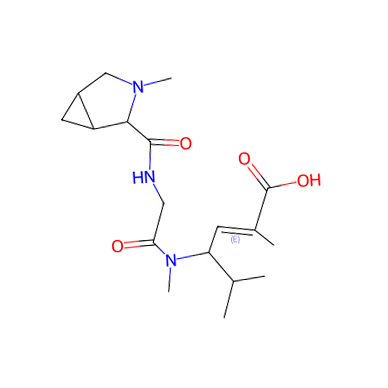 C/C(=C\C(C(C)C)N(C)C(=O)CNC(=O)C1C2CC2CN1C)C(=O)O